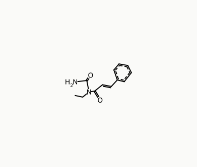 CCN(C(N)=O)C(=O)C=Cc1ccccc1